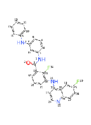 O=C(Nc1cccc(Nc2ccccc2)c1)c1cccc(Nc2ccnc3ccc(F)cc23)c1F